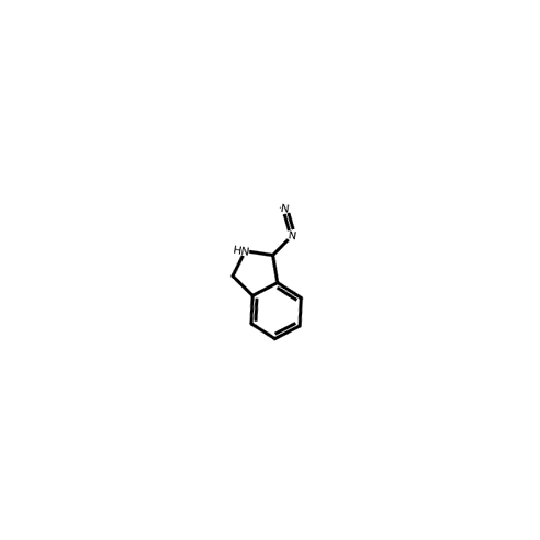 [N]=NC1NCc2ccccc21